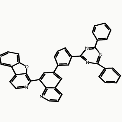 c1ccc(-c2nc(-c3ccccc3)nc(-c3cccc(-c4cc(-c5nccc6c5oc5ccccc56)c5ncccc5c4)c3)n2)cc1